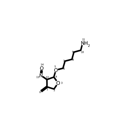 C=C1COC(OCCCCCN)C1N=O